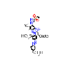 C=CS(=O)(=O)CCNc1cc(NCCCOC)c(/N=N/c2ccc(/N=N/c3ccc(S(=O)(=O)O)cc3)cc2S(=O)(=O)O)c(C)c1C#N